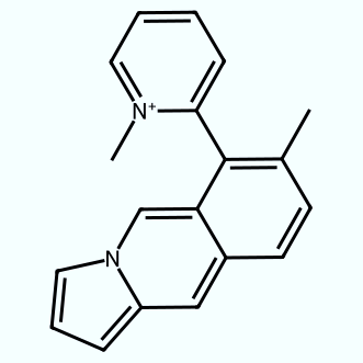 Cc1ccc2cc3cccn3cc2c1-c1cccc[n+]1C